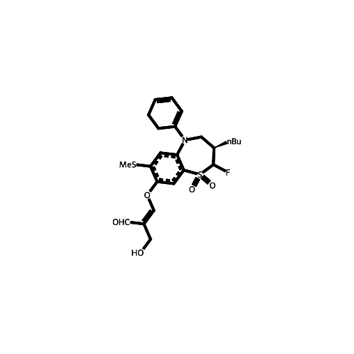 CCCC[C@@H]1CN(C2=CC=CCC2)c2cc(SC)c(O/C=C(\C=O)CO)cc2S(=O)(=O)C1F